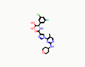 Cc1cnc(NC2CCOCC2)nc1-n1cnc(C(=O)N[C@@H](c2cc(F)cc(Cl)c2)C(O)O)c1